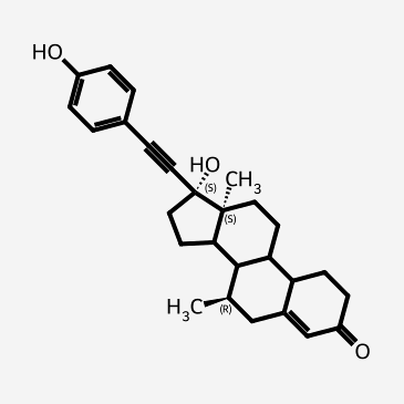 C[C@@H]1CC2=CC(=O)CCC2C2CC[C@@]3(C)C(CC[C@@]3(O)C#Cc3ccc(O)cc3)C21